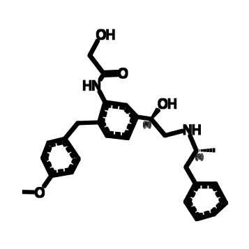 COc1ccc(Cc2ccc([C@@H](O)CN[C@H](C)Cc3ccccc3)cc2NC(=O)CO)cc1